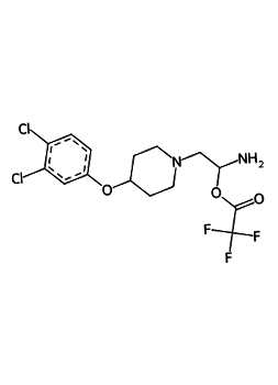 NC(CN1CCC(Oc2ccc(Cl)c(Cl)c2)CC1)OC(=O)C(F)(F)F